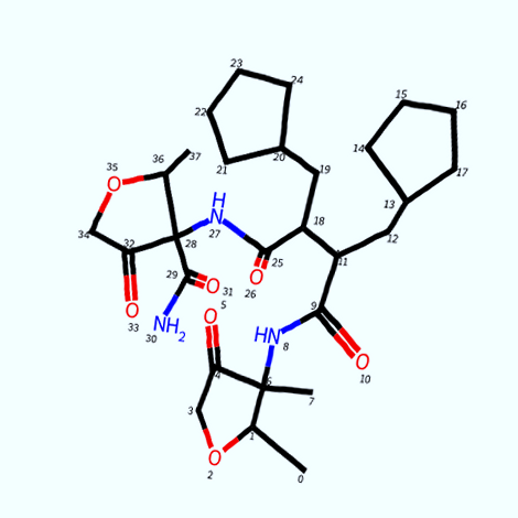 CC1OCC(=O)C1(C)NC(=O)[C](CC1CCCC1)C(CC1CCCC1)C(=O)NC1(C(N)=O)C(=O)COC1C